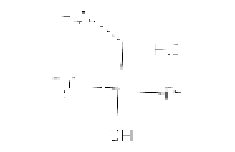 CC(C)C(O)(CN)C(F)(F)F.Cl